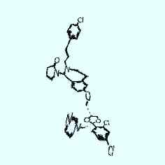 O=C1CCCN1C1c2ccc(OC[C@@H]3CO[C@@](Cn4ccnc4)(c4ccc(Cl)cc4Cl)O3)cc2CCN1C/C=C/c1ccc(Cl)cc1